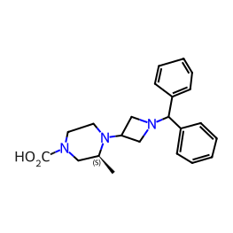 C[C@H]1CN(C(=O)O)CCN1C1CN(C(c2ccccc2)c2ccccc2)C1